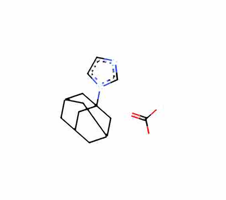 O=C(O)O.c1cn(C23CC4CC(CC(C4)C2)C3)cn1